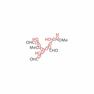 COCC(O)COC(CO)CCOCC(COC(COCC(O)COCC=O)COC(COC)COCC(CO)OCC=O)OCC=O